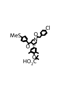 CSc1ccc(C(=O)C2CN(C(=O)Cc3ccc(Cl)cc3)C[C@@H]2c2cc(C)c(OC(C)(C)C(=O)O)c(C)c2)cc1